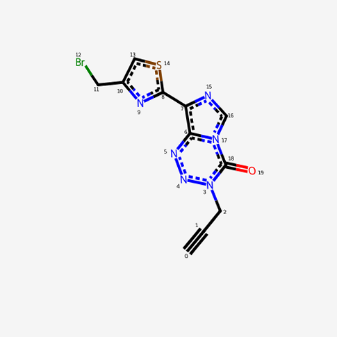 C#CCn1nnc2c(-c3nc(CBr)cs3)ncn2c1=O